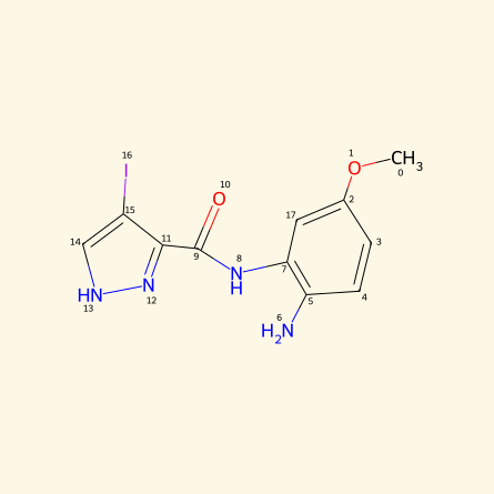 COc1ccc(N)c(NC(=O)c2n[nH]cc2I)c1